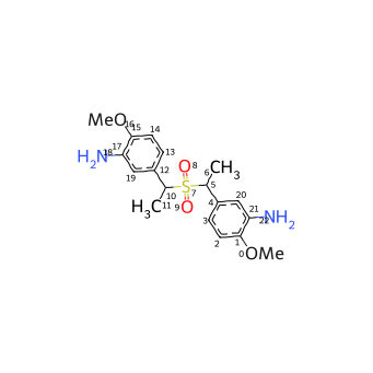 COc1ccc(C(C)S(=O)(=O)C(C)c2ccc(OC)c(N)c2)cc1N